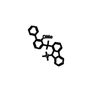 COc1c(-c2ccccc2)cccc1C(C)(C)c1cccc2c1C([Si](C)(C)C)c1ccccc1-2